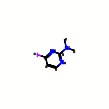 CN(C)c1nccc(I)n1